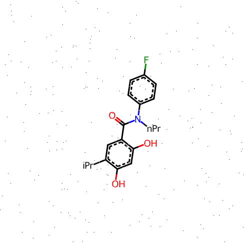 CCCN(C(=O)c1cc(C(C)C)c(O)cc1O)c1ccc(F)cc1